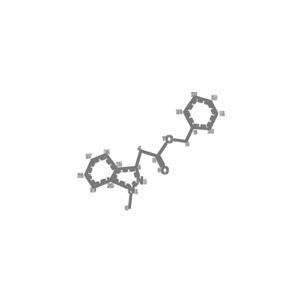 Cn1nc(CC(=O)OCc2ccccc2)c2ccccc21